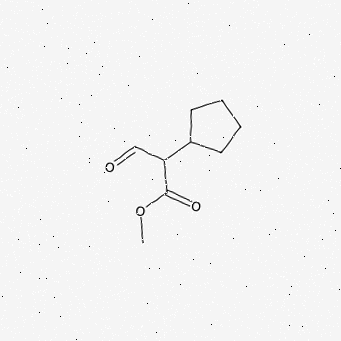 COC(=O)C(C=O)C1CCCC1